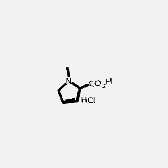 CN1CC=CC1C(=O)O.Cl